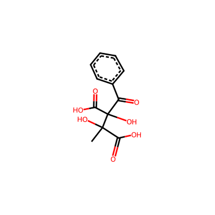 CC(O)(C(=O)O)C(O)(C(=O)O)C(=O)c1ccccc1